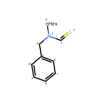 CCCCCCN([C]=S)Cc1ccccc1